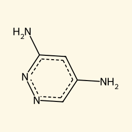 Nc1cnnc(N)c1